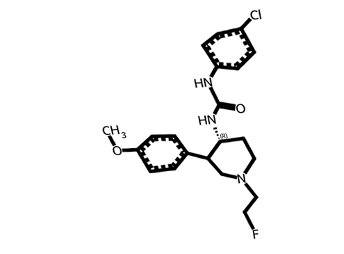 COc1ccc(C2CN(CCF)CC[C@H]2NC(=O)Nc2ccc(Cl)cc2)cc1